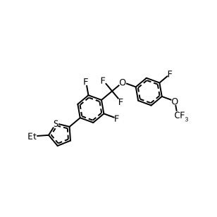 CCc1ccc(-c2cc(F)c(C(F)(F)Oc3ccc(OC(F)(F)F)c(F)c3)c(F)c2)s1